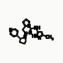 Cc1cc(NC2=NN(N3CCCC3c3ccncc3)Cc3cccn32)[nH]n1